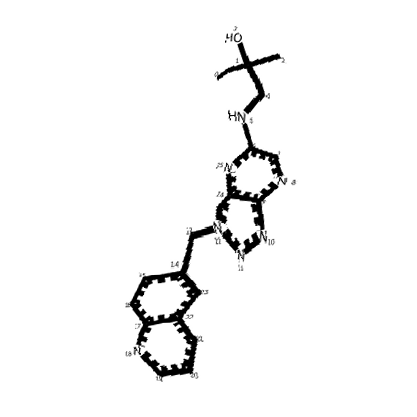 CC(C)(O)CNc1cnc2nnn(Cc3ccc4ncccc4c3)c2n1